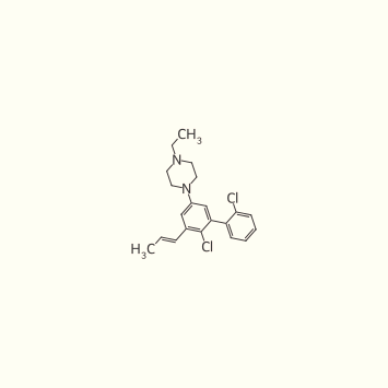 CC=Cc1cc(N2CCN(CC)CC2)cc(-c2ccccc2Cl)c1Cl